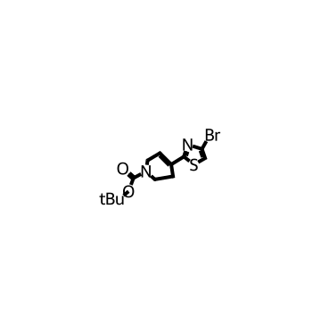 CC(C)(C)OC(=O)N1CC=C(c2nc(Br)cs2)CC1